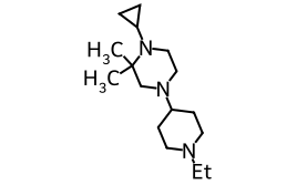 CCN1CCC(N2CCN(C3CC3)C(C)(C)C2)CC1